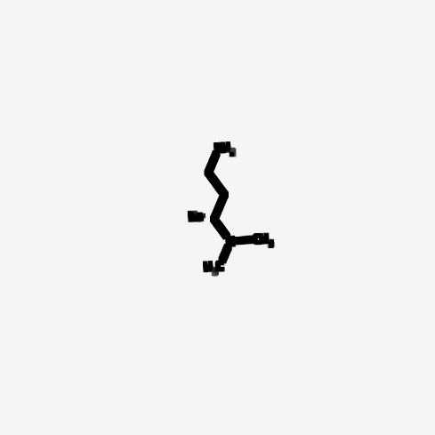 CN(C)CCCN.[Na]